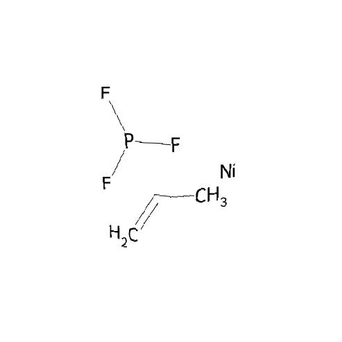 C=CC.FP(F)F.[Ni]